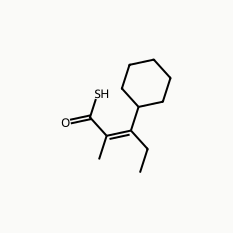 CC/C(=C(\C)C(=O)S)C1CCCCC1